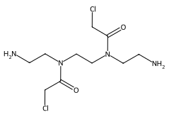 NCCN(CCN(CCN)C(=O)CCl)C(=O)CCl